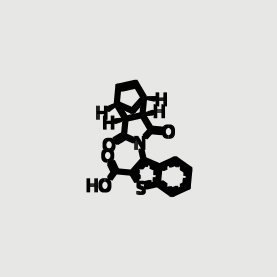 O=C(O)c1sc2ccccc2c1N1C(=O)[C@@H]2[C@H](C1=O)[C@@H]1C=C[C@H]2C1